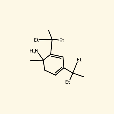 CCC(C)(CC)C1=CCC(C)(N)C(C(C)(CC)CC)=C1